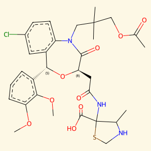 COc1cccc([C@H]2O[C@H](CC(=O)NC3(C(=O)O)SCNC3C)C(=O)N(CC(C)(C)COC(C)=O)c3ccc(Cl)cc32)c1OC